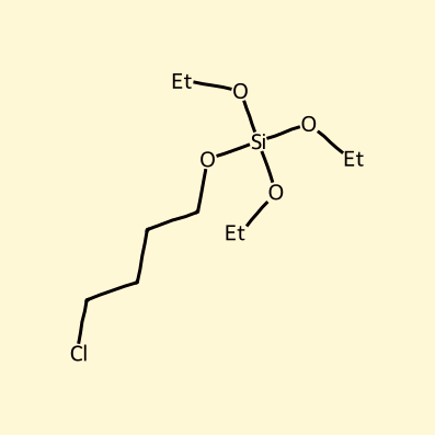 CCO[Si](OCC)(OCC)OCCCCCl